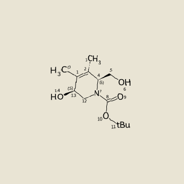 CC1=C(C)[C@@H](CO)N(C(=O)OC(C)(C)C)C[C@H]1O